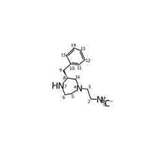 [C-]#[N+]CCN1CCN[C@@H](Cc2ccccc2)C1